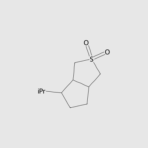 CC(C)C1CCC2CS(=O)(=O)CC21